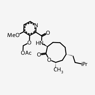 COc1ccnc(C(=O)N[C@H]2CCC[C@H](CCC(C)C)C[C@H](C)OC2=O)c1OCOC(C)=O